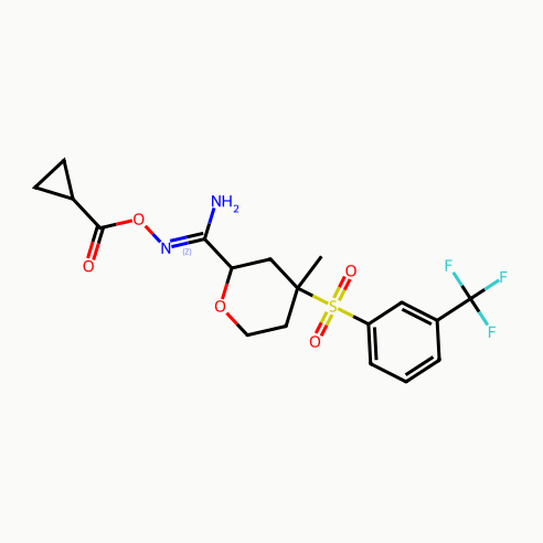 CC1(S(=O)(=O)c2cccc(C(F)(F)F)c2)CCOC(/C(N)=N/OC(=O)C2CC2)C1